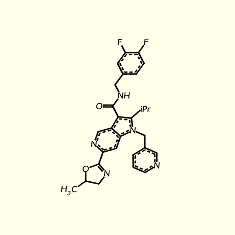 CC1CN=C(c2cc3c(cn2)c(C(=O)NCc2ccc(F)c(F)c2)c(C(C)C)n3Cc2cccnc2)O1